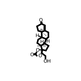 CC(=O)O[C@]1(C(=O)CO)CC[C@H]2[C@@H]3CCC4=CC(=O)CC[C@]4(C)[C@H]3CC[C@@]21C